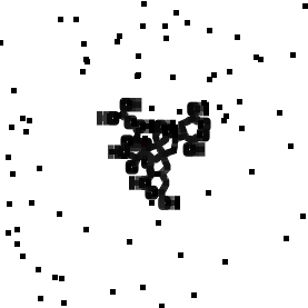 O=C(O)CC(CCC(CC(CC(=O)O)C(=O)O)(CC(CC(=O)O)C(=O)O)C(CO)(CO)CO)C(=O)O.O=C(O)O